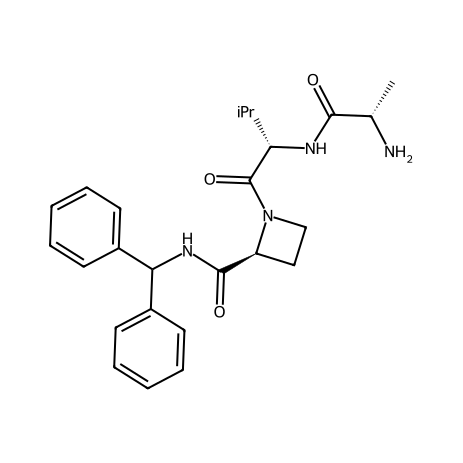 CC(C)[C@H](NC(=O)[C@H](C)N)C(=O)N1CC[C@H]1C(=O)NC(c1ccccc1)c1ccccc1